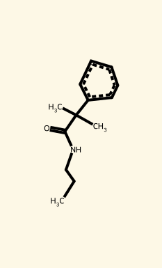 CCCNC(=O)C(C)(C)c1ccccc1